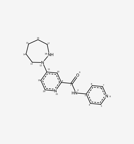 O=C(Nc1ccncc1)c1cc(N2CCCCCN2)ccn1